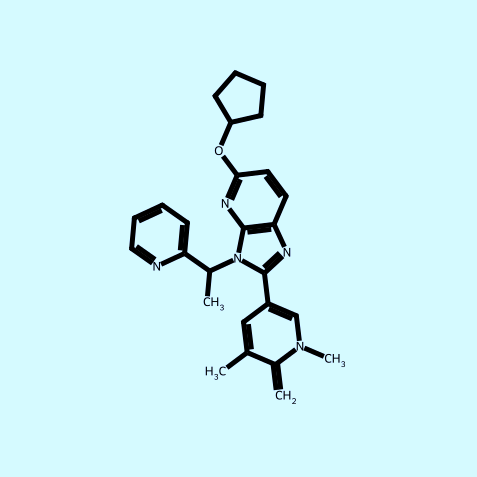 C=C1C(C)=CC(c2nc3ccc(OC4CCCC4)nc3n2C(C)c2ccccn2)=CN1C